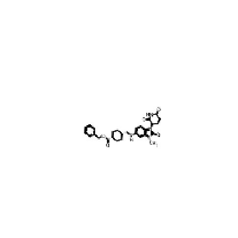 Cn1c(=O)n(C2CCC(=O)NC2=O)c2ccc(NC[C@H]3CC[C@@H](C(=O)OCc4ccccc4)CC3)cc21